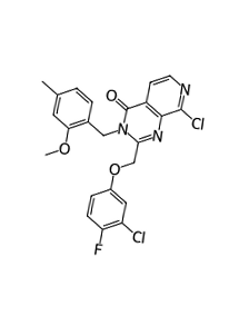 COc1cc(C)ccc1Cn1c(COc2ccc(F)c(Cl)c2)nc2c(Cl)nccc2c1=O